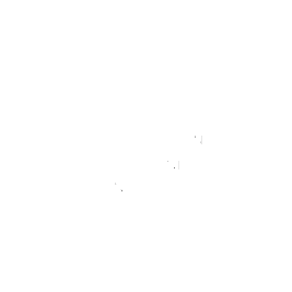 CC(C)Oc1ccc(-c2cnc(NC(=O)C3CCC(=O)C(CS)CCCN3)s2)cc1